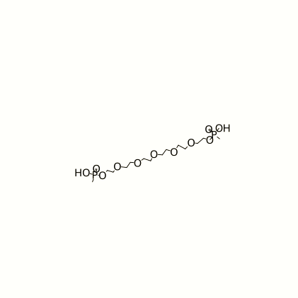 CP(=O)(O)OCCOCCOCCOCCOCCOCCOP(C)(=O)O